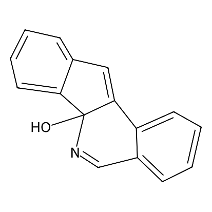 OC12N=Cc3ccccc3C1=Cc1ccccc12